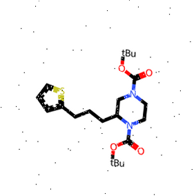 CC(C)(C)OC(=O)N1CCN(C(=O)OC(C)(C)C)C(CCCc2cccs2)C1